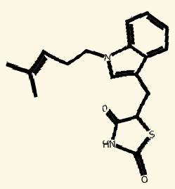 CC(C)=CCCn1cc(CC2SC(=O)NC2=O)c2ccccc21